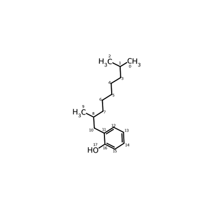 CC(C)CCCCCC(C)Cc1ccccc1O